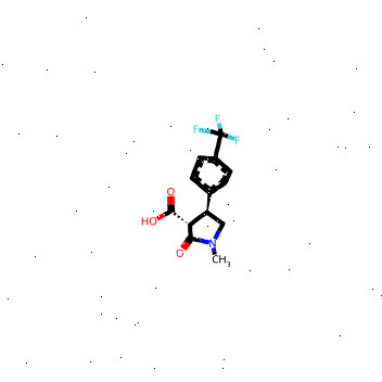 CN1C[C@H](c2ccc(C(F)(F)F)cc2)[C@@H](C(=O)O)C1=O